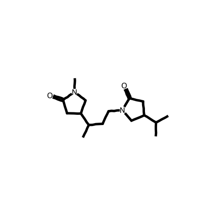 CC(C)C1CC(=O)N(CCC(C)C2CC(=O)N(C)C2)C1